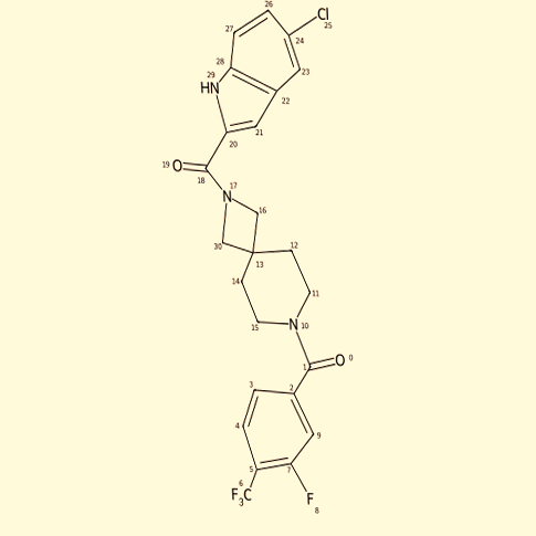 O=C(c1ccc(C(F)(F)F)c(F)c1)N1CCC2(CC1)CN(C(=O)c1cc3cc(Cl)ccc3[nH]1)C2